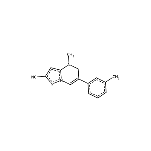 Cc1cccc(C2=Cn3nc(C#N)cc3N(C)C2)c1